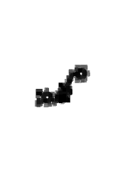 Fc1ccc(CN2C=Nc3sc(C#CCc4ccccc4)nc3C2)cc1F